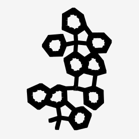 CC1(C)c2ccccc2-c2c(N(c3ccc(C4(c5ccccc5)c5ccccc5-c5ccccc54)cc3)c3ccccc3-c3ccccc3)cc3ccccc3c21